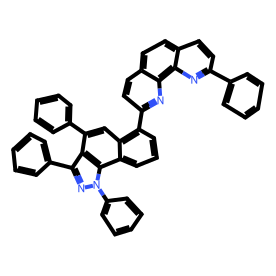 c1ccc(-c2ccc3ccc4ccc(-c5cccc6c5cc(-c5ccccc5)c5c(-c7ccccc7)nn(-c7ccccc7)c56)nc4c3n2)cc1